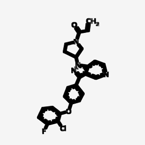 C=CC(=O)N1CCC(n2nc(-c3ccc(Oc4cccc(F)c4Cl)cc3)c3cnccc32)C1